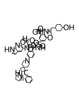 Cc1ccccc1[C@@H]1CCCN1C1CC2(CCN(c3ccc(C(=O)NS(=O)(=O)c4cc5c(c([N+](=O)[O-])c4)N[C@@H](CC4CCC(O)CC4)CO5)c(N4c5cc6cc[nH]c6nc5O[C@@H]5COC[C@H]54)c3)CC2)C1